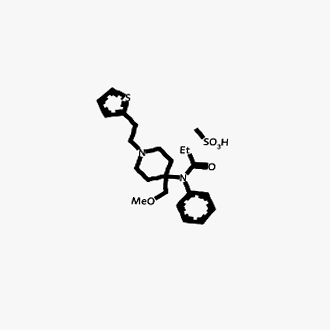 CCC(=O)N(c1ccccc1)C1(COC)CCN(CCc2cccs2)CC1.CS(=O)(=O)O